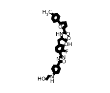 Cc1ccc(-c2ccc(C(=O)NC(Cc3ccc(-c4noc(-c5ccc(NCCO)cc5)n4)c(F)c3)C(=O)O)o2)cc1